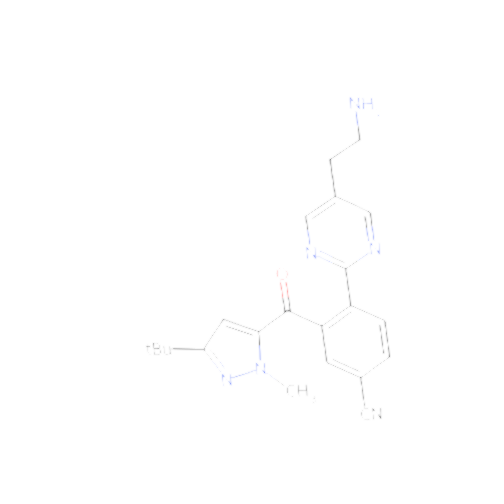 Cn1nc(C(C)(C)C)cc1C(=O)c1cc(C#N)ccc1-c1ncc(CCN)cn1